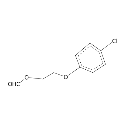 O=COCCOc1ccc(Cl)cc1